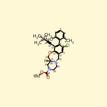 COc1cccc(C)c1-c1c(Cl)cc2c(c1C#C[Si](C)(C)C)OC[C@H]1CN(C(=O)OC(C)(C)C)CCN1C2